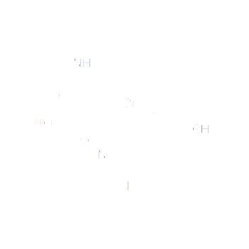 Cc1ccc(Cl)c(-c2noc([C@H]3CNCC[C@H]3O)c2Br)c1F